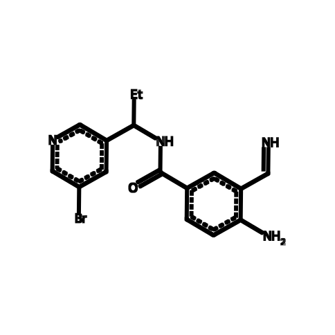 CCC(NC(=O)c1ccc(N)c(C=N)c1)c1cncc(Br)c1